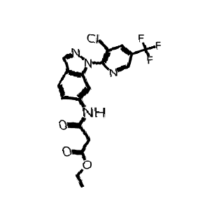 CCOC(=O)CC(=O)Nc1ccc2cnn(-c3ncc(C(F)(F)F)cc3Cl)c2c1